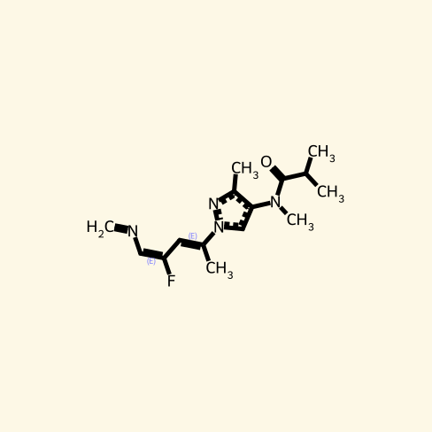 C=N/C=C(F)\C=C(/C)n1cc(N(C)C(=O)C(C)C)c(C)n1